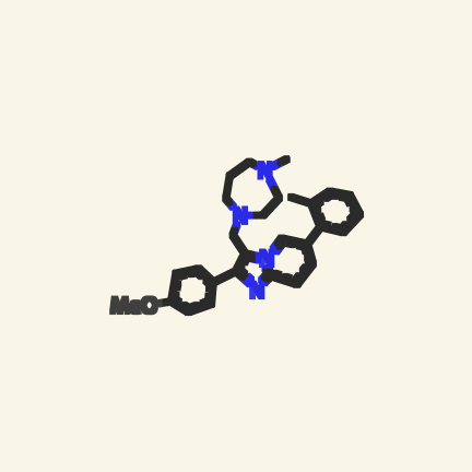 COc1ccc(-c2nc3ccc(-c4ccccc4C)cn3c2CN2CCCN(C)CC2)cc1